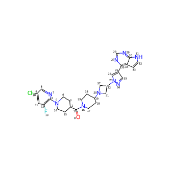 O=C(C1CCN(c2ncc(Cl)cc2F)CC1)N1CCC(N2C[C](n3cc(-c4ncnc5[nH]ccc45)cn3)C2)CC1